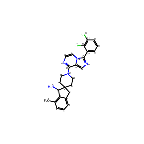 NC1c2c(cccc2C(F)(F)F)CC12CCN(c1nccn3c(-c4cccc(Cl)c4Cl)ncc13)CC2